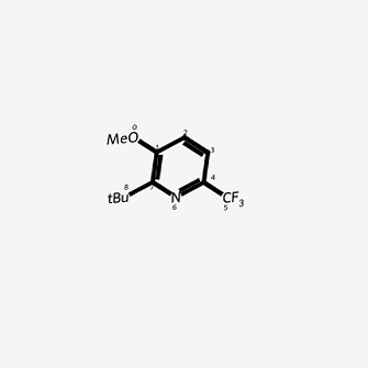 COc1ccc(C(F)(F)F)nc1C(C)(C)C